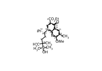 CCOC(=O)c1cn([C@H](CCC(C)(C)[Si](C)(C)O)C(C)C)c2nc(OC)c(C)cc2c1=O